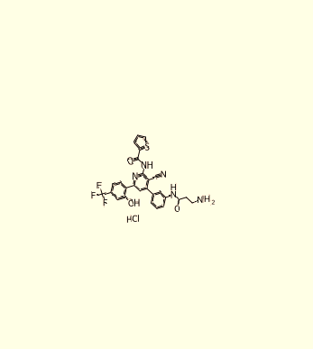 Cl.N#Cc1c(-c2cccc(NC(=O)CCN)c2)cc(-c2ccc(C(F)(F)F)cc2O)nc1NC(=O)c1cccs1